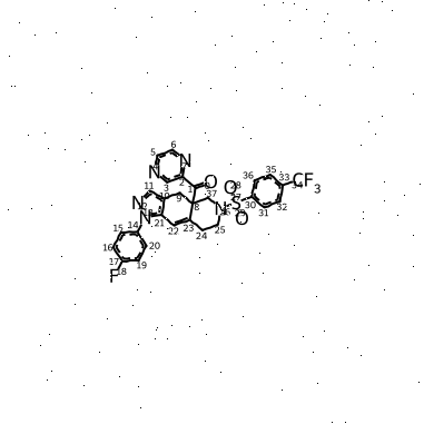 O=C(c1cnccn1)C12Cc3cnn(-c4ccc(F)cc4)c3C=C1CCN(S(=O)(=O)c1ccc(C(F)(F)F)cc1)C2